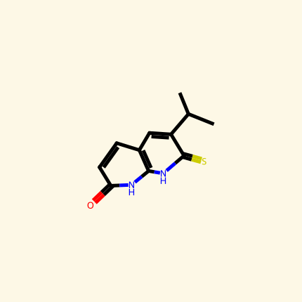 CC(C)c1cc2ccc(=O)[nH]c2[nH]c1=S